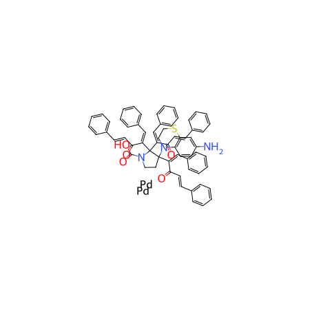 Nc1ccc2c(c1)SCCN2C1(C(=Cc2ccccc2)C(=O)C=Cc2ccccc2)CCN(C(=O)O)C1(C(=Cc1ccccc1)C(=O)C=Cc1ccccc1)C(=Cc1ccccc1)C(=O)C=Cc1ccccc1.[Pd].[Pd]